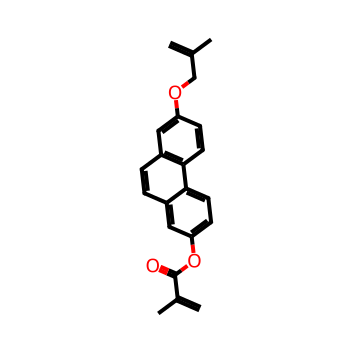 C=C(C)COc1ccc2c(ccc3cc(OC(=O)C(=C)C)ccc32)c1